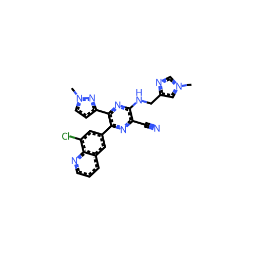 Cn1cnc(CNc2nc(-c3ccn(C)n3)c(-c3cc(Cl)c4ncccc4c3)nc2C#N)c1